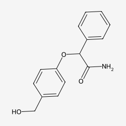 NC(=O)C(Oc1ccc(CO)cc1)c1ccccc1